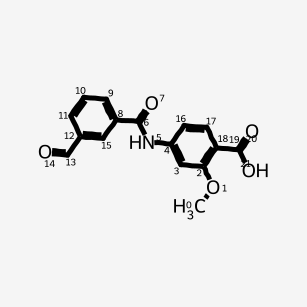 COc1cc(NC(=O)c2cccc(C=O)c2)ccc1C(=O)O